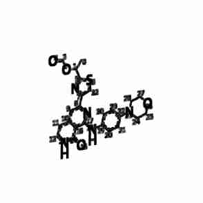 CC(OC=O)c1nc(-c2cc3cc[nH]c(=O)c3c(Nc3ccc(N4CCOCC4)cc3)n2)cs1